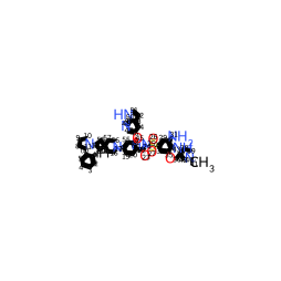 CC(C)c1ccccc1[C@@H]1CCCN1C1CC2(CCN(c3ccc(C(=O)NS(=O)(=O)c4cc(N)c5c(c4)OCC4(CCN(C)C4)N5)c(Oc4cnc5[nH]ccc5c4)c3)CC2)C1